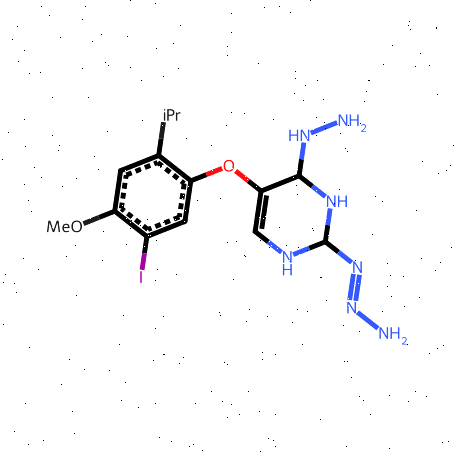 COc1cc(C(C)C)c(OC2=CNC(N=NN)NC2NN)cc1I